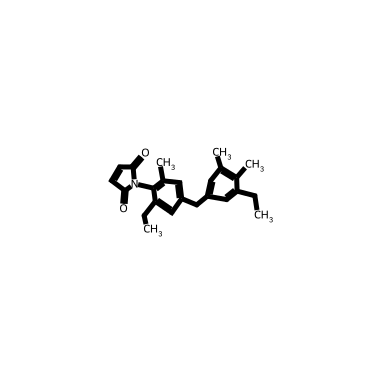 CCc1cc(Cc2cc(C)c(N3C(=O)C=CC3=O)c(CC)c2)cc(C)c1C